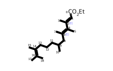 CCOC(=O)/C=C(C)/C(C)=C(\C)CC(C)CCCC(C)=C(C)C